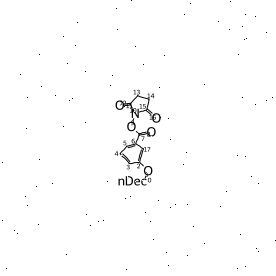 CCCCCCCCCCOc1cccc(C(=O)ON2C(=O)CCC2=O)c1